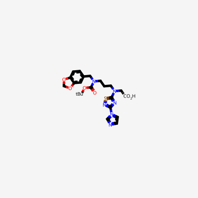 CC(C)(C)OC(=O)N(CCCN(CC(=O)O)c1nc(-n2ccnc2)ns1)Cc1ccc2c(c1)OCO2